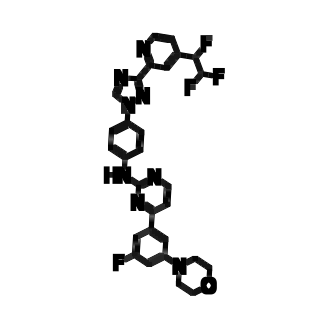 Fc1cc(-c2ccnc(Nc3ccc(-n4cnc(-c5cc(C(F)C(F)F)ccn5)n4)cc3)n2)cc(N2CCOCC2)c1